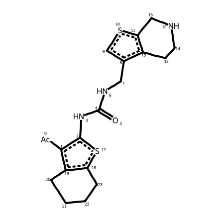 CC(=O)c1c(NC(=O)NCc2csc3c2CCNC3)sc2c1CCCC2